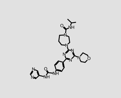 CC(C)NC(=O)N1CCCN(c2nc(-c3ccc(NC(=O)Nc4cncnc4)cc3)nc(N3CCOCC3)n2)CC1